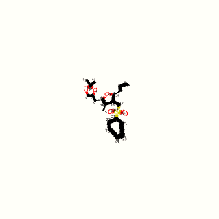 C=CC[C@@H]1O[C@H](CC2COC(C)(C)O2)[C@H](C)C1CS(=O)(=O)c1ccccc1